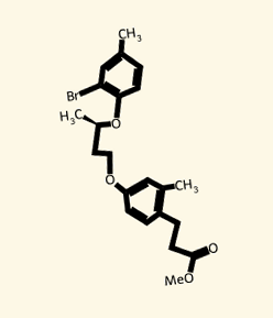 COC(=O)CCc1ccc(OCC[C@@H](C)Oc2ccc(C)cc2Br)cc1C